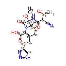 CO[C@@]1(NC(=O)C(C#N)[S+](C)[O-])C(=O)N2C(C(=O)O)=C(CSc3c[nH]nn3)CS[C@H]21